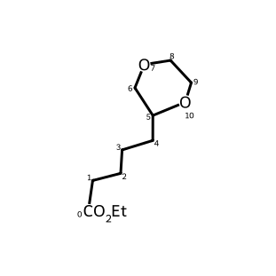 CCOC(=O)CCCCC1COCCO1